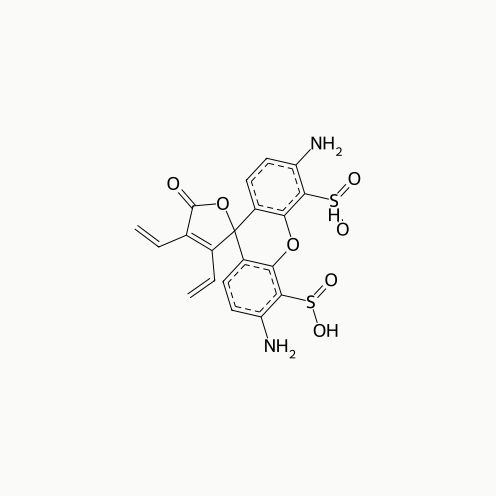 C=CC1=C(C=C)C2(OC1=O)c1ccc(N)c(S(=O)O)c1Oc1c2ccc(N)c1[SH](=O)=O